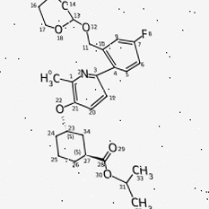 Cc1nc(-c2ccc(F)cc2COC2CCCCO2)ccc1O[C@H]1CCC[C@H](C(=O)OC(C)C)C1